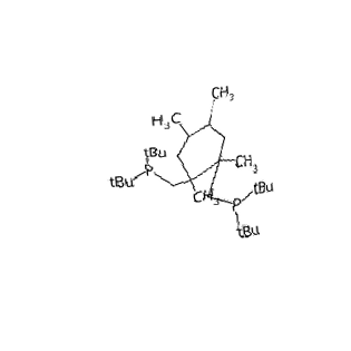 CC1CC(C)(CP(C(C)(C)C)C(C)(C)C)C(C)(CP(C(C)(C)C)C(C)(C)C)CC1C